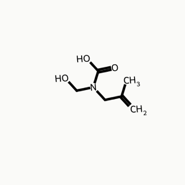 C=C(C)CN(CO)C(=O)O